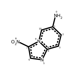 Nc1ccc2ncc([N+](=O)[O-])n2c1